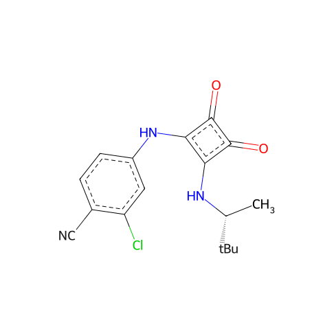 C[C@@H](Nc1c(Nc2ccc(C#N)c(Cl)c2)c(=O)c1=O)C(C)(C)C